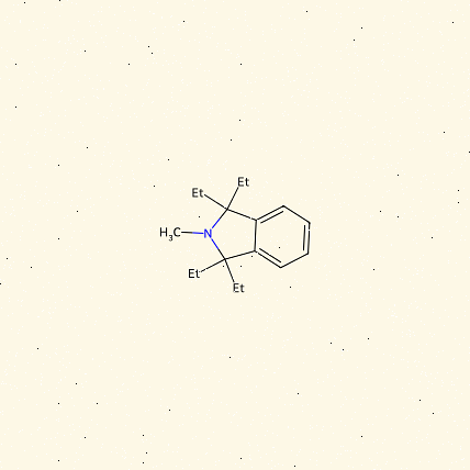 CCC1(CC)c2ccccc2C(CC)(CC)N1C